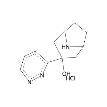 Cl.OC1(c2cccnn2)CC2CCC(C1)N2